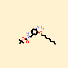 CCCCCCCOc1cc(CNC(=O)OC(C)(C)C)ccc1N